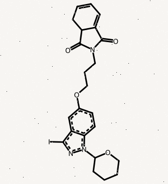 O=C1C2=CC=CCC2C(=O)N1CCCOc1ccc2c(c1)c(I)nn2C1CCCCO1